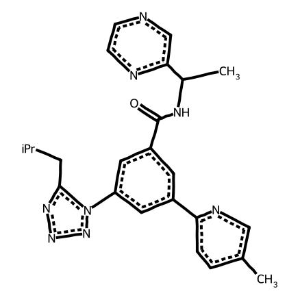 Cc1ccc(-c2cc(C(=O)NC(C)c3cnccn3)cc(-n3nnnc3CC(C)C)c2)nc1